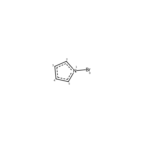 Brn1cccc1